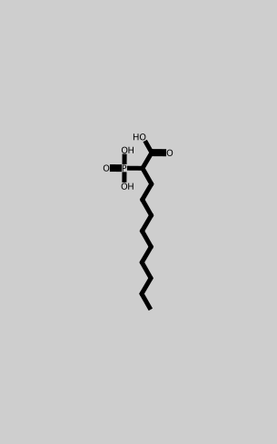 CCCCCCCCCC(C(=O)O)P(=O)(O)O